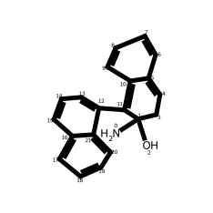 NC1(O)CC=c2ccccc2=C1c1cccc2ccccc12